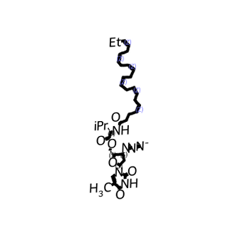 CC/C=C\C/C=C\C/C=C\C/C=C\C/C=C\C/C=C\CCC(=O)N[C@H](C(=O)OC[C@H]1O[C@H](n2cc(C)c(=O)[nH]c2=O)C[C@@H]1N=[N+]=[N-])C(C)C